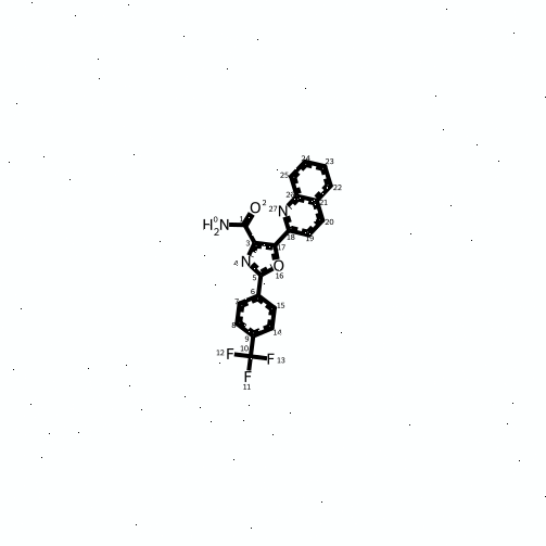 NC(=O)c1nc(-c2ccc(C(F)(F)F)cc2)oc1-c1ccc2ccccc2n1